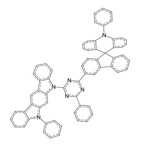 c1ccc(-c2nc(-c3ccc4c(c3)-c3ccccc3C43c4ccccc4N(c4ccccc4)c4ccccc43)nc(-n3c4ccccc4c4cc5c6ccccc6n(-c6ccccc6)c5cc43)n2)cc1